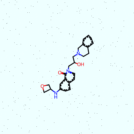 O=c1c2cc(NC3COC3)ccc2ccn1CC(O)CN1CCc2ccccc2C1